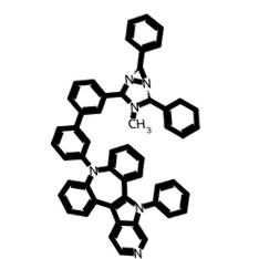 CN1C(C2=CC=CCC2)[N@@]2C(c3ccccc3)[N@@]2C1c1cccc(-c2cccc(N3c4ccccc4-c4c(n(-c5ccccc5)c5cnccc45)-c4ccccc43)c2)c1